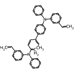 C=Cc1cccc(N(C(=C)/C=C\C(=C/C)c2ccc(N(c3ccccc3)c3cccc(C=C)c3)cc2)c2ccccc2)c1